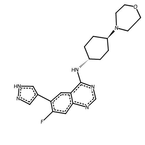 Fc1cc2ncnc(N[C@H]3CC[C@H](N4CCOCC4)CC3)c2cc1-c1cn[nH]c1